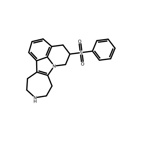 O=S(=O)(c1ccccc1)C1Cc2cccc3c4c(n(c23)C1)CCNCC4